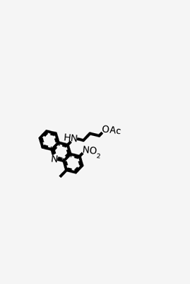 CC(=O)OCCCNc1c2ccccc2nc2c(C)ccc([N+](=O)[O-])c12